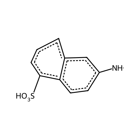 [NH]c1ccc2c(S(=O)(=O)O)cccc2c1